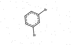 Brc1[c]ccc(Br)c1